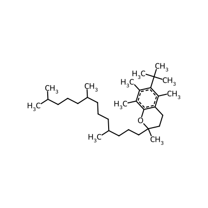 Cc1c(C)c(C(C)(C)C)c(C)c2c1OC(C)(CCCC(C)CCCC(C)CCCC(C)C)CC2